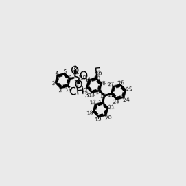 Cc1ccccc1S(=O)(=O)Oc1ccc(C(c2ccccc2)c2ccccc2)cc1F